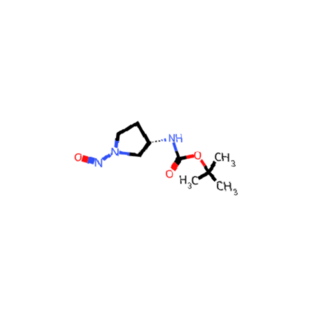 CC(C)(C)OC(=O)N[C@H]1CCN(N=O)C1